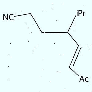 CC(=O)/C=C/C(CCC#N)C(C)C